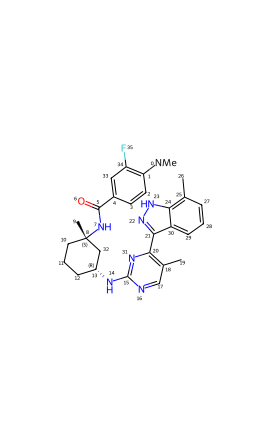 CNc1ccc(C(=O)N[C@@]2(C)CCC[C@@H](Nc3ncc(C)c(-c4n[nH]c5c(C)cccc45)n3)C2)cc1F